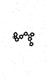 c1ccc(-c2ccc3c(c2)-c2ccccc2C3c2cccc(-c3ccc(-c4cccc5oc6ccccc6c45)cc3)c2)cc1